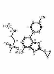 COc1ccc(-c2ccc(C#N)cc2)n2nc(C3CC3)nc12.CS(=O)(=O)CCNC(=O)O